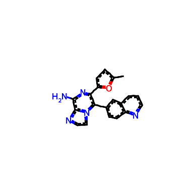 Cc1ccc(-c2nc(N)c3nccn3c2-c2ccc3ncccc3c2)o1